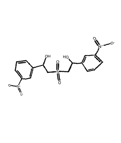 O=[N+]([O-])c1cccc(C(O)CS(=O)(=O)CC(O)c2cccc([N+](=O)[O-])c2)c1